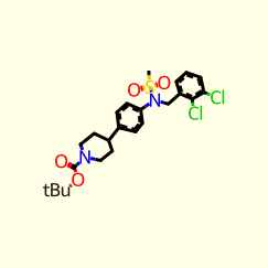 CC(C)(C)OC(=O)N1CCC(c2ccc(N(Cc3cccc(Cl)c3Cl)S(C)(=O)=O)cc2)CC1